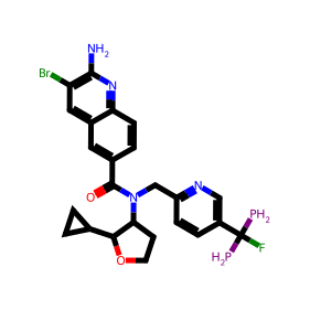 Nc1nc2ccc(C(=O)N(Cc3ccc(C(F)(P)P)cn3)C3CCOC3C3CC3)cc2cc1Br